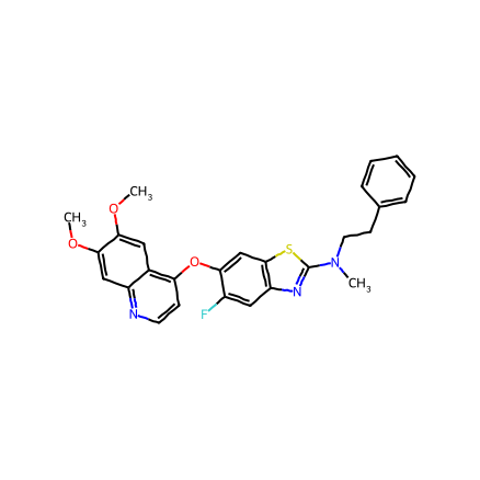 COc1cc2nccc(Oc3cc4sc(N(C)CCc5ccccc5)nc4cc3F)c2cc1OC